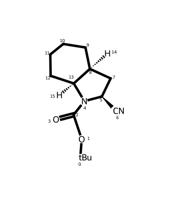 CC(C)(C)OC(=O)N1[C@H](C#N)C[C@@H]2CCCC[C@@H]21